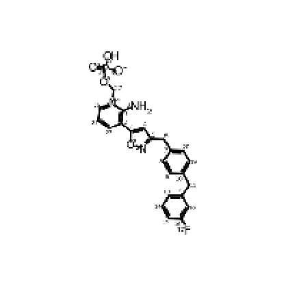 Nc1c(-c2cc(Cc3ccc(Cc4cccc(F)c4)cc3)no2)ccc[n+]1COP(=O)([O-])O